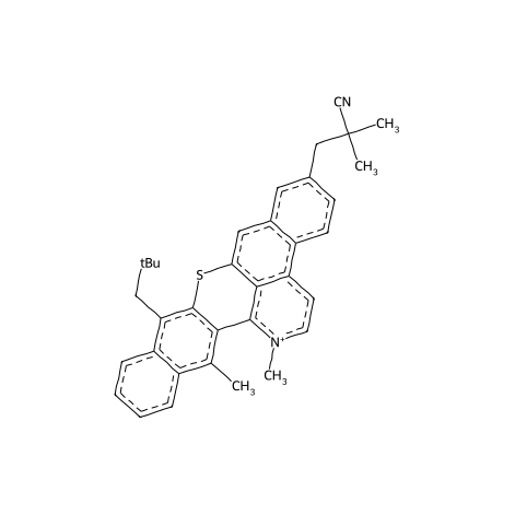 Cc1c2c(c(CC(C)(C)C)c3ccccc13)Sc1cc3cc(CC(C)(C)C#N)ccc3c3cc[n+](C)c-2c13